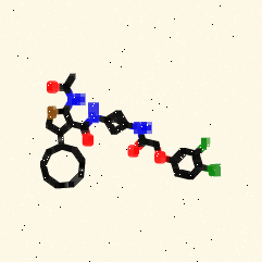 CC(=O)NC1SCC(C2CCCCCCCC2)C1C(=O)NC12CC(NC(=O)COc3ccc(Cl)c(F)c3)(C1)C2